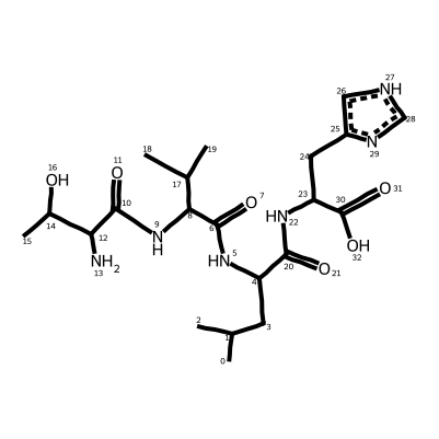 CC(C)CC(NC(=O)C(NC(=O)C(N)C(C)O)C(C)C)C(=O)NC(Cc1c[nH]cn1)C(=O)O